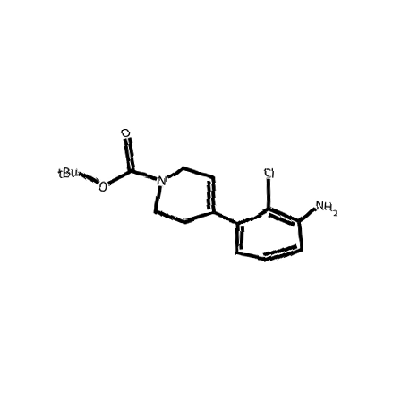 CC(C)(C)OC(=O)N1CC=C(c2cccc(N)c2Cl)CC1